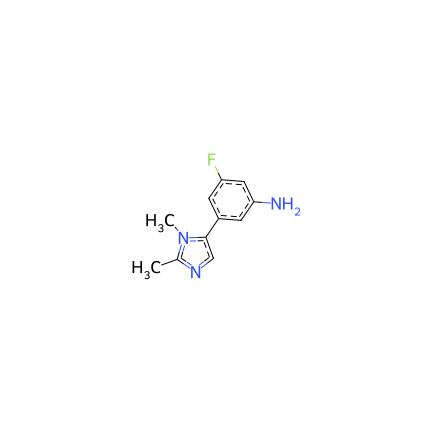 Cc1ncc(-c2cc(N)cc(F)c2)n1C